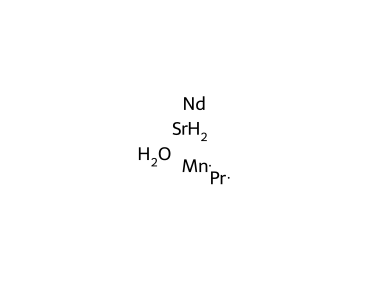 O.[Mn].[Nd].[Pr].[SrH2]